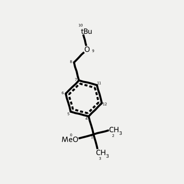 COC(C)(C)c1ccc(COC(C)(C)C)cc1